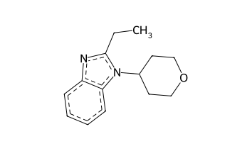 CCc1nc2ccccc2n1C1CCOCC1